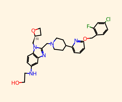 OCCNc1ccc2c(c1)nc(CN1CCC(c3cccc(OCc4ccc(Cl)cc4F)n3)CC1)n2C[C@@H]1CCO1